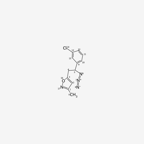 Cc1cc(CC(N=[N+]=[N-])c2cccc(Cl)c2)on1